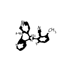 Cc1ccc(F)c(-c2nc3c([nH]2)-c2ccncc2Nc2ncccc2-3)c1C#N